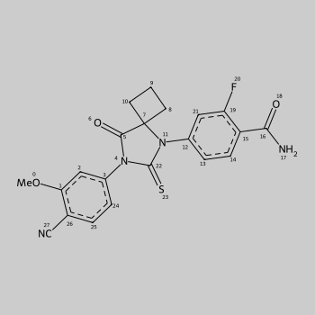 COc1cc(N2C(=O)C3(CCC3)N(c3ccc(C(N)=O)c(F)c3)C2=S)ccc1C#N